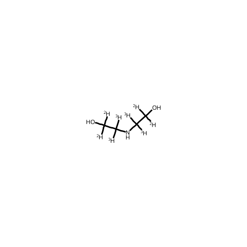 [2H]C([2H])(O)C([3H])([3H])NC([3H])([3H])C([2H])([2H])O